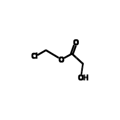 O=C(CO)OCCl